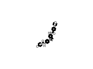 O=C1CCN(C(=O)Nc2ccc(-n3ncc4cc(NC(=O)c5ccc(N6CCOCC6)cc5)ccc43)cc2)CC1